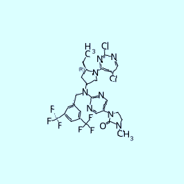 CC[C@@H]1CC(N(Cc2cc(C(F)(F)F)cc(C(F)(F)F)c2)c2ncc(N3CCN(C)C3=O)cn2)CN1c1nc(Cl)ncc1Cl